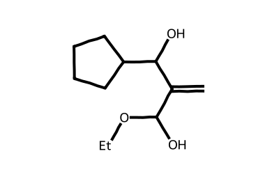 C=C(C(O)OCC)C(O)C1CCCC1